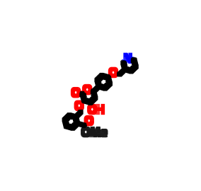 COC(=O)c1ccccc1COc1c(O)cc(-c2ccc(OCc3cccnc3)cc2)oc1=O